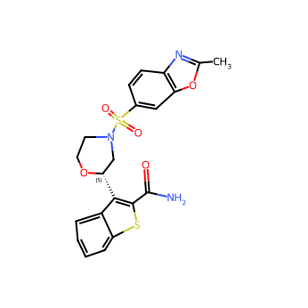 Cc1nc2ccc(S(=O)(=O)N3CCO[C@@H](c4c(C(N)=O)sc5ccccc45)C3)cc2o1